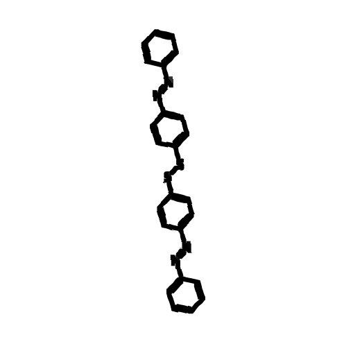 c1ccc(N=Nc2ccc(SSc3ccc(N=Nc4ccccc4)cc3)cc2)cc1